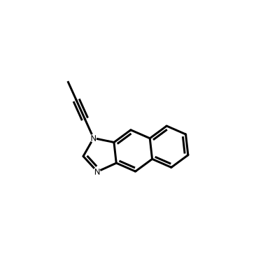 CC#Cn1cnc2cc3ccccc3cc21